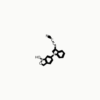 N#CCCSc1cn(-c2ccc3c(c2)B(O)OC3)c2ccccc12